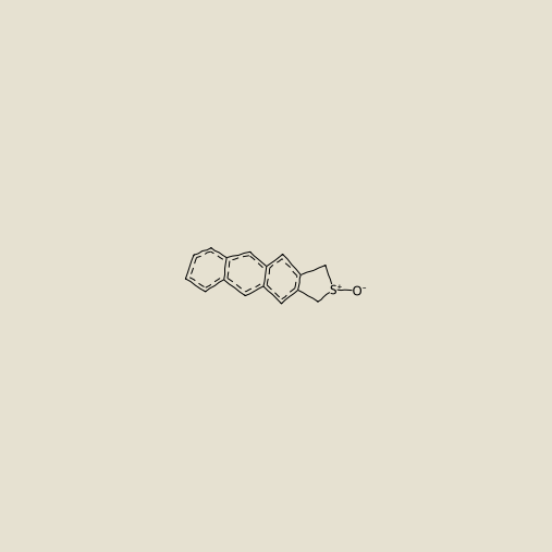 [O-][S+]1Cc2cc3cc4ccccc4cc3cc2C1